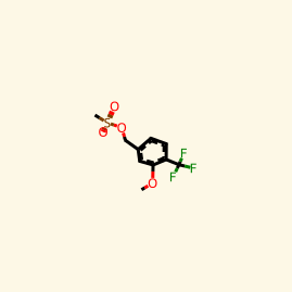 COc1cc(COS(C)(=O)=O)ccc1C(F)(F)F